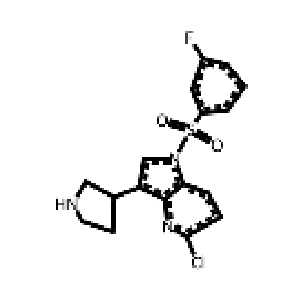 O=S(=O)(c1cccc(F)c1)n1cc(C2CCNC2)c2nc(Cl)ccc21